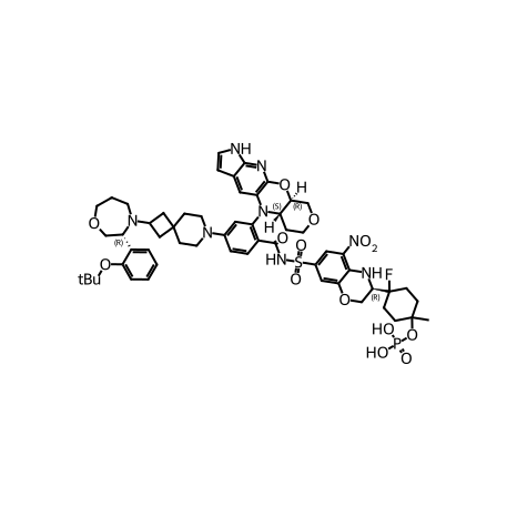 CC(C)(C)Oc1ccccc1[C@@H]1COCCCN1C1CC2(CCN(c3ccc(C(=O)NS(=O)(=O)c4cc5c(c([N+](=O)[O-])c4)N[C@@H](C4(F)CCC(C)(OP(=O)(O)O)CC4)CO5)c(N4c5cc6cc[nH]c6nc5O[C@H]5COCC[C@@H]54)c3)CC2)C1